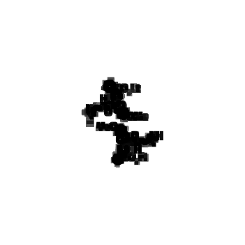 CCOC(=O)C1(C2CCCC2)CCN(C(=O)C(Cc2ccc(OC)cc2)NC(=O)NCCc2c[nH]cn2)CC1.CCOC(=O)C1(C2CCCCC2)CCN(C(=O)[C@H](Cc2ccc(OC)cc2)NC(=O)NCCc2c[nH]cn2)CC1